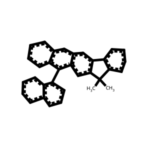 CC1(C)c2ccccc2-c2cc3cc4ccccc4c(-c4cccc5ccccc45)c3cc21